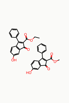 CCOC(=O)C1=C(c2ccccc2)c2ccc(O)cc2C1=O.COC(=O)C1=C(c2ccccc2)c2ccc(O)cc2C1=O